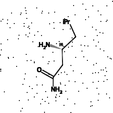 CC(C)C[C@@H](N)CC(N)=O